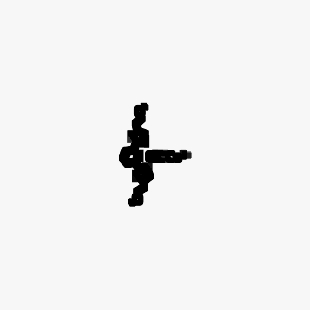 COCCC1=NC(c2cccc(C3=NCC(CCOC)=N3)n2)=NC1.[Cl-].[Cl-].[Cl-].[Co+3]